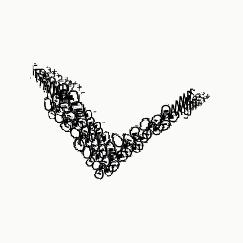 O=P([O-])([O-])OP(=O)([O-])[O-].O=P([O-])([O-])OP(=O)([O-])[O-].O=P([O-])([O-])OP(=O)([O-])[O-].O=P([O-])([O-])OP(=O)([O-])[O-].O=P([O-])([O-])OP(=O)([O-])[O-].O=P([O-])([O-])OP(=O)([O-])[O-].O=P([O-])([O-])OP(=O)([O-])[O-].[Fe+3].[Fe+3].[Fe+3].[Fe+3].[Mg+2].[Mg+2].[Mg+2].[Mg+2].[Mn+2].[Mn+2].[Mn+2].[Mn+2]